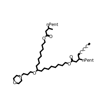 C=C=C=C=CC(CCCCC)CC(=O)OCCCCCCCCC(CCCCCCCCOC(=O)CC(C)CCCCC)OCCCN1CCOCC1